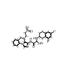 CCCC(N[C@H]1CCc2cc(F)cc(F)c2C1)C(=O)Nc1ncn2c1N(CCN(CC)CC)Cc1ccccc1-2